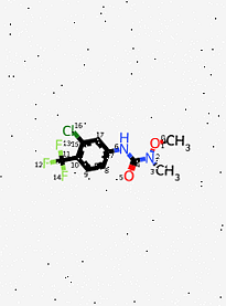 CON(C)C(=O)Nc1ccc(C(F)(F)F)c(Cl)c1